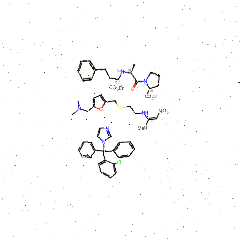 CCOC(=O)[C@H](CCc1ccccc1)N[C@@H](C)C(=O)N1CCC[C@H]1C(=O)O.CN/C(=C/[N+](=O)[O-])NCCSCc1ccc(CN(C)C)o1.Clc1ccccc1C(c1ccccc1)(c1ccccc1)n1ccnc1